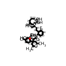 C[C@@H]1CC(c2ccc(Cl)cc2)([C@@H](C(=O)Nc2cccc(F)c2CC[C@H]2CN[C@@H]3CCCS(O)(O)N2C3)N(C)C(=O)O)C[C@H](C)O1